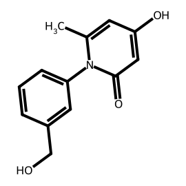 Cc1cc(O)cc(=O)n1-c1cccc(CO)c1